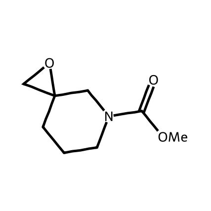 COC(=O)N1CCCC2(CO2)C1